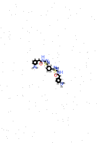 CN(C)c1cccc(CC(=O)Nc2nnc([C@H]3CCC[C@H](c4nnc(NC(=O)Cc5cccc(N(C)C)c5)s4)C3)s2)c1